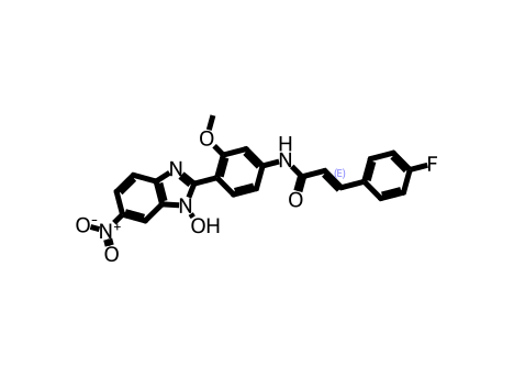 COc1cc(NC(=O)/C=C/c2ccc(F)cc2)ccc1-c1nc2ccc([N+](=O)[O-])cc2n1O